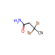 N#CC(Br)(Br)CC(N)=O